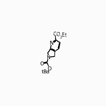 CCOC(=O)c1ccc2c(n1)CN(C(=O)OC(C)(C)C)C2